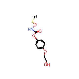 [3H]SONC(=O)Oc1ccc(OCCO)cc1